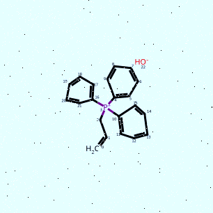 C=CC[P+](c1ccccc1)(c1ccccc1)c1ccccc1.[OH-]